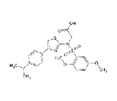 COc1ccc(OC)c(S(=O)(=O)N(CC(=O)O)c2nc(-c3ccc(C(C)C)cc3)cs2)c1